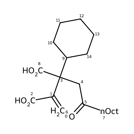 C=C(C(=O)O)C(CC(=O)CCCCCCCC)(C(=O)O)C1CCCCC1